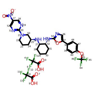 O=C(O)C(F)(F)F.O=C(O)C(F)(F)F.O=[N+]([O-])c1cnc(N2CCC[C@H](N[C@@H]3CCCC[C@H]3Nc3ncc(-c4ccc(OC(F)(F)F)cc4)o3)C2)nc1